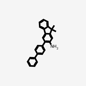 CC1(C)c2ccccc2-c2cc(-c3ccc(-c4ccccc4)cc3)c(N)cc21